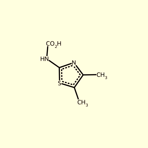 Cc1nc(NC(=O)O)sc1C